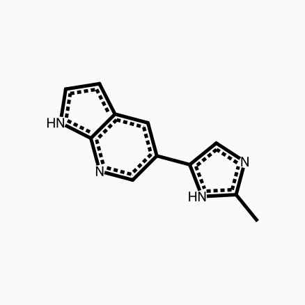 Cc1ncc(-c2cnc3[nH]ccc3c2)[nH]1